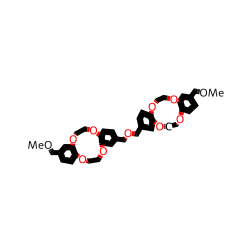 COCc1ccc2c(c1)OCCOc1ccc(COCc3ccc4c(c3)OCCOc3ccc(COC)cc3OCCO4)cc1OCCO2